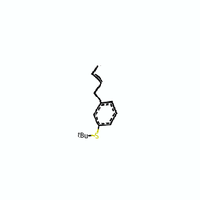 [CH2]/C=C/Cc1cccc(SC(C)(C)C)c1